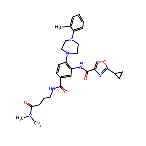 Cc1ccccc1N1CCN(c2ccc(C(=O)NCCCC(=O)N(C)C)cc2NC(=O)c2coc(C3CC3)n2)CC1